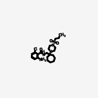 CCCS(=O)(=O)N1CCN(C2(CNC(=O)c3c(N)cccc3Cl)CCCCCC2)CC1